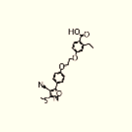 CCc1cc(OCCOc2ccc(-c3onc(SC)c3C#N)cc2)ccc1C(=O)O